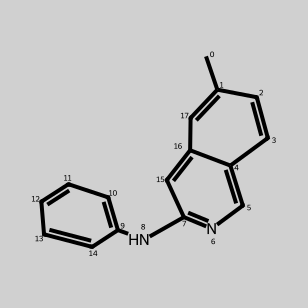 Cc1ccc2cnc(Nc3ccccc3)cc2c1